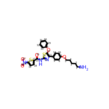 NCCCCCOc1ccc(-c2nc(NC(=O)c3ccc([N+](=O)[O-])s3)sc2Oc2ccccc2)cc1